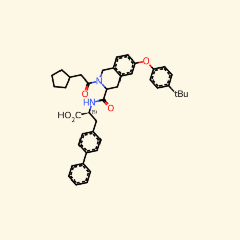 CC(C)(C)c1ccc(Oc2ccc3c(c2)CC(C(=O)N[C@@H](Cc2ccc(-c4ccccc4)cc2)C(=O)O)N(C(=O)CC2CCCC2)C3)cc1